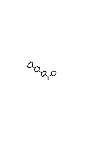 C1=CC(Nc2ccc(-c3ccc(-c4ccccc4)cc3)cc2)=CCC1